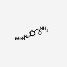 CN/N=C/c1ccc(CC(N)=O)cc1